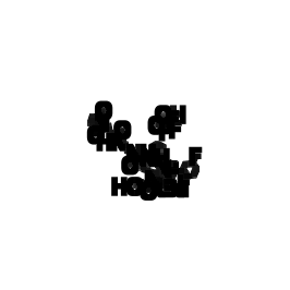 CC(C)(C)[C@H](c1cc(-c2cc(F)ccc2F)cn1Cc1ccccc1)N(CC[C@H](N)C(=O)NCCNC(=O)CCN1C(=O)C=CC1=O)C(=O)CO.O=C(O)C(F)(F)F